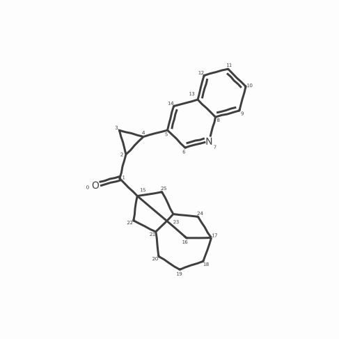 O=C(C1CC1c1cnc2ccccc2c1)C12CC3CCCC(C1)C(C3)C2